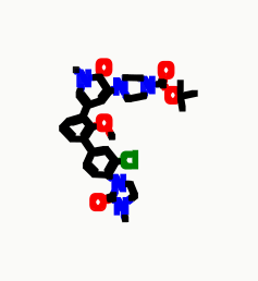 COc1c(-c2ccc(N3CCN(C)C3=O)c(Cl)c2)cccc1-c1cc(N2CCN(C(=O)OC(C)(C)C)CC2)c(=O)n(C)c1